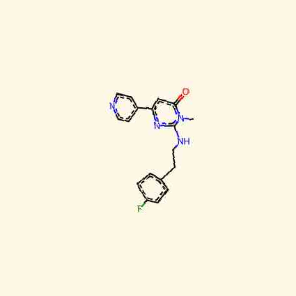 Cn1c(NCCc2ccc(F)cc2)nc(-c2ccncc2)cc1=O